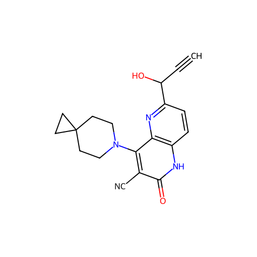 C#CC(O)c1ccc2[nH]c(=O)c(C#N)c(N3CCC4(CC3)CC4)c2n1